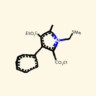 CCOC(=O)c1c(-c2ccccc2)c(C(=O)OCC)n(CSC)c1C